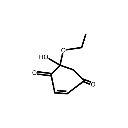 CCOC1(O)CC(=O)C=CC1=O